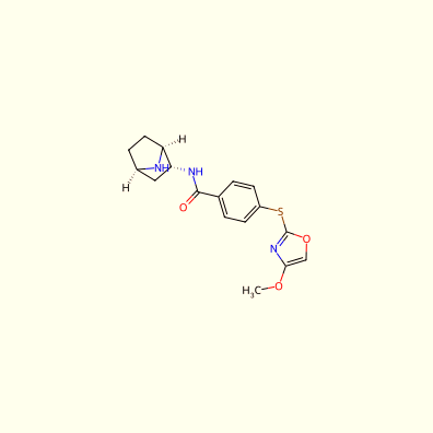 COc1coc(Sc2ccc(C(=O)N[C@@H]3C[C@H]4CC[C@@H]3N4)cc2)n1